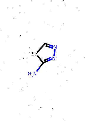 Nc1nnc[se]1